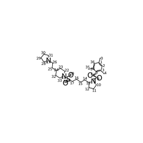 Cc1cc(C)c(S(=O)(=O)N2CCCC2CCCCS(=O)(=O)N2CCC(CCN3CCCC3)CC2)c(C)c1